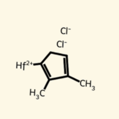 CC1=CC[C]([Hf+2])=C1C.[Cl-].[Cl-]